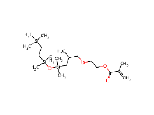 C=C(C)C(=O)OCCOCC(C)C[Si](C)(C)O[Si](C)(C)CC[Si](C)(C)C